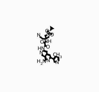 Cc1ccncc1-c1cc2cc(NC(=O)C(=O)NC3(CC#N)CN(S(=O)(=O)C4CC4)C3)ncc2c(N)n1